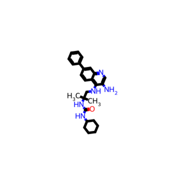 CC(C)(CNc1c(N)cnc2cc(-c3ccccc3)ccc12)NC(=O)NC1CCCCC1